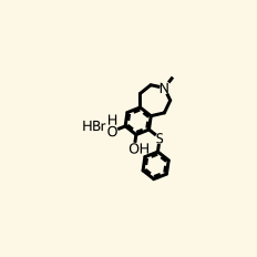 Br.CN1CCc2cc(O)c(O)c(Sc3ccccc3)c2CC1